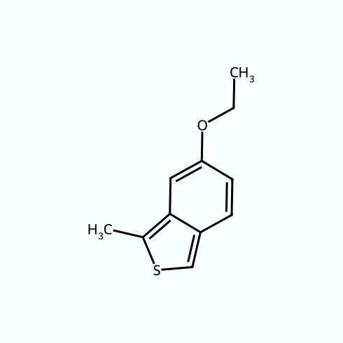 CCOc1ccc2csc(C)c2c1